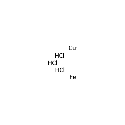 Cl.Cl.Cl.[Cu].[Fe]